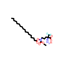 CCCCCCCCCCCCCCCCCC(=O)ON(CCCC(N)(C(=O)O)C(F)F)C(=O)OCC